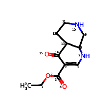 CCOC(=O)C1=CNC2CNCCC2C1=O